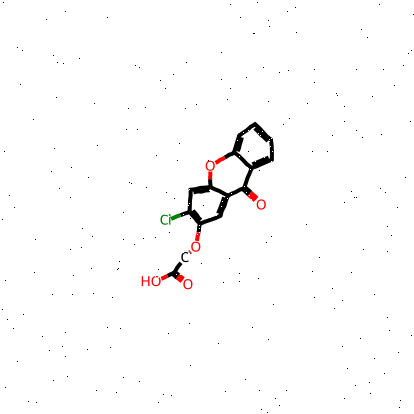 O=C(O)COc1cc2c(=O)c3ccccc3oc2cc1Cl